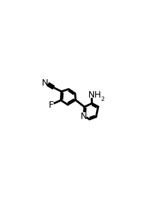 N#Cc1ccc(-c2ncccc2N)cc1F